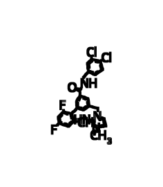 Cc1cc(F)cc(F)c1-c1cc(Cn2ccn(C)c2=N)cc(C(=O)NCc2ccc(Cl)c(Cl)c2)c1